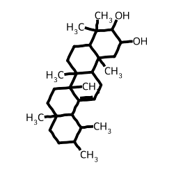 CC1CCC2(C)CCC3(C)C(=CCC4C5(C)CC(O)C(O)C(C)(C)C5CCC43C)C2C1C